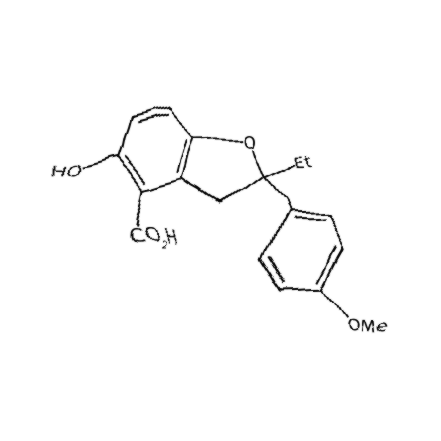 CCC1(c2ccc(OC)cc2)Cc2c(ccc(O)c2C(=O)O)O1